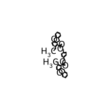 CCc1ccc2c(c1C(=O)OCc1ccc(COC(=O)c3c(CC)ccc4c3Cc3ccccc3O4)cc1)Cc1ccccc1O2